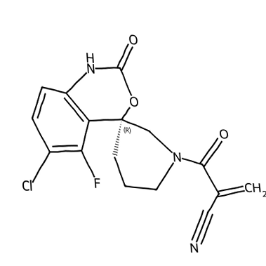 C=C(C#N)C(=O)N1CCC[C@@]2(C1)OC(=O)Nc1ccc(Cl)c(F)c12